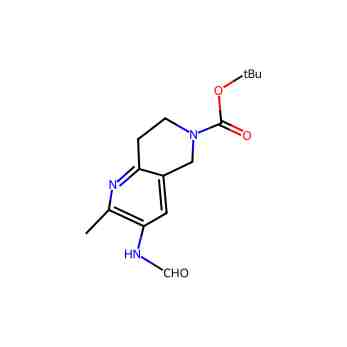 Cc1nc2c(cc1NC=O)CN(C(=O)OC(C)(C)C)CC2